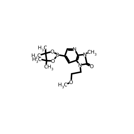 COCCn1c(=O)n(C)c2ncc(B3OC(C)(C)C(C)(C)O3)cc21